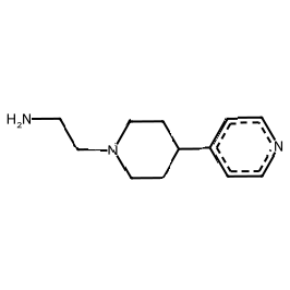 NCCN1CCC(c2ccncc2)CC1